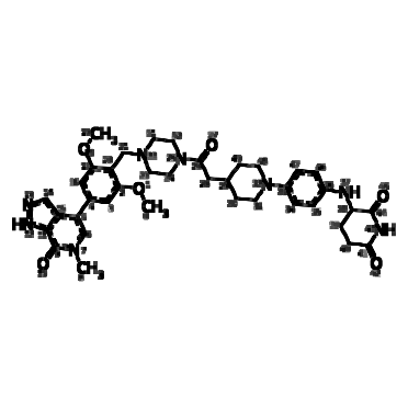 COc1cc(-c2cn(C)c(=O)c3[nH]ncc23)cc(OC)c1CN1CCN(C(=O)CC2CCN(c3ccc(NC4CCC(=O)NC4=O)cc3)CC2)CC1